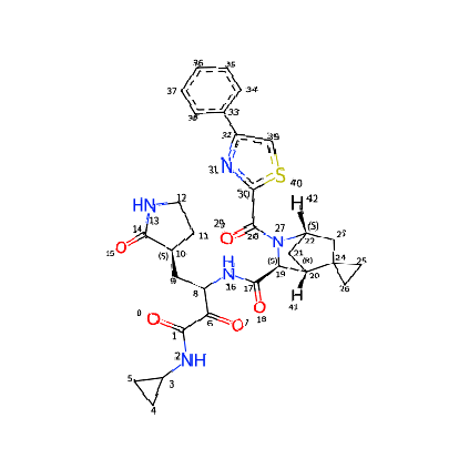 O=C(NC1CC1)C(=O)C(C[C@@H]1CCNC1=O)NC(=O)[C@@H]1[C@@H]2C[C@@H](CC23CC3)N1C(=O)c1nc(-c2ccccc2)cs1